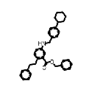 O=C(OCc1ccccc1)c1cc(NCc2ccc(C3CCCCC3)cc2)ccc1CCc1ccccc1